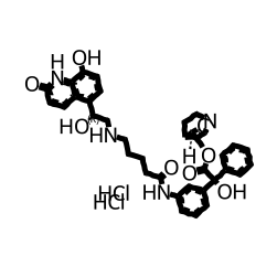 Cl.Cl.O=C(CCCCNC[C@H](O)c1ccc(O)c2[nH]c(=O)ccc12)Nc1cccc(C(O)(C(=O)O[C@@H]2CN3CCC2CC3)c2ccccc2)c1